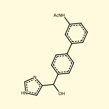 CC(=O)Nc1cccc(-c2ccc(C(O)c3c[nH]cn3)cc2)c1